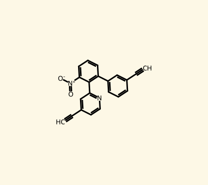 C#Cc1cccc(-c2cccc([N+](=O)[O-])c2-c2cc(C#C)ccn2)c1